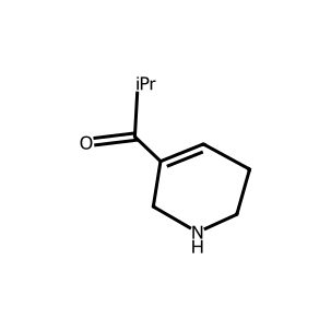 CC(C)C(=O)C1=CCCNC1